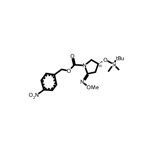 CON=C1C[C@@H](O[Si](C)(C)C(C)(C)C)CN1C(=O)OCc1ccc([N+](=O)[O-])cc1